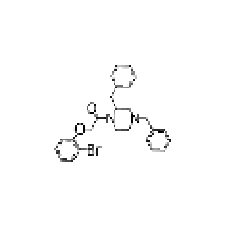 O=C(COc1ccccc1Br)N1CCN(Cc2ccccc2)CC1Cc1ccccc1